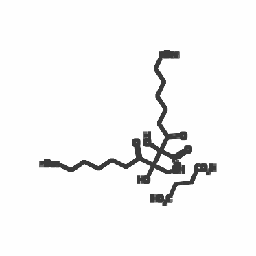 CCCCCCCCCCCCCCCC(=O)C(O)(CO)C(O)(C(=O)CCCCCCCCCCCCCCC)P(=O)=O.O=C(O)CCC(=O)O